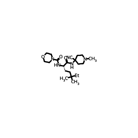 CCC(C)(C)CC[C@H](NC(=O)N1CCOCC1)C(=O)NC1(C#N)CCN(C)CC1